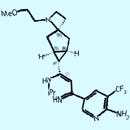 COCCN1CC[C@@]12C[C@@H]1[C@H](C2)[C@H]1/C(=C/C(=N)c1cnc(N)c(C(F)(F)F)c1)NC(C)C